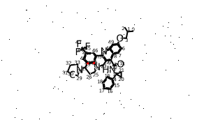 CC(C)COc1ccc2c(C(=O)NC3(c4ccccc4)CC3)c(CN3CCC(N4CCCCC4)CC3)c(-c3cccc(C(F)(F)F)c3)nc2c1